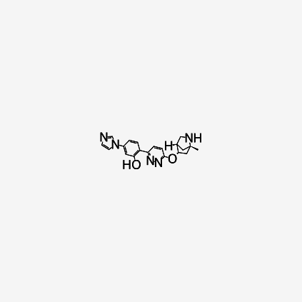 C[C@@]12C[C@@H](CN1)[C@H](Oc1ccc(-c3ccc(-n4ccnc4)cc3O)nn1)C2